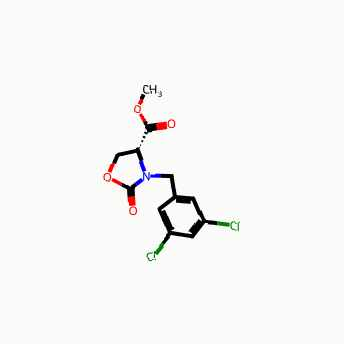 COC(=O)[C@H]1COC(=O)N1Cc1cc(Cl)cc(Cl)c1